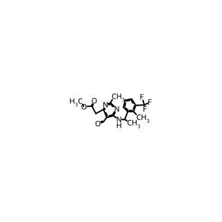 COC(=O)Cc1nc(C)nc(NC(C)c2cccc(C(F)(F)F)c2C)c1C=O